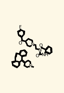 CN1CCC(=C2c3ccccc3C=Cc3ccccc32)CC1.O=C(c1ccc(F)cc1)C1CCN(CCn2c(=O)[nH]c3ccccc3c2=O)CC1